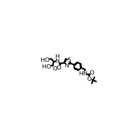 CC(C)(C)OC(=O)NCc1ccc(-c2nc(C(=O)NC(CO)C(=O)O)cs2)cc1